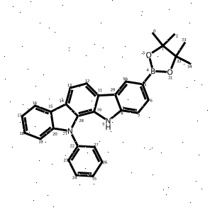 CC1(C)OB(c2ccc3[nH]c4c(ccc5c6ccccc6n(-c6ccccc6)c54)c3c2)OC1(C)C